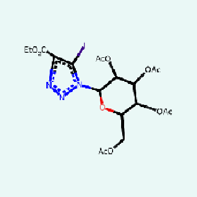 CCOC(=O)c1nnn(C2OC(COC(C)=O)C(OC(C)=O)C(OC(C)=O)C2OC(C)=O)c1I